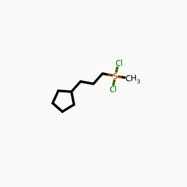 CS(Cl)(Cl)CCCC1CCCC1